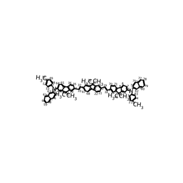 Cc1ccc(N(c2ccc3c(c2)C(C)(C)c2cc(/C=C/c4ccc5c(c4)C(C)(C)c4cc(/C=C/c6ccc7c(c6)C(C)(C)c6cc(N(c8ccc(C)cc8)c8ccc9ccccc9c8)ccc6-7)ccc4-5)ccc2-3)c2ccc3ccccc3c2)cc1